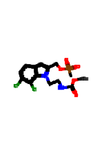 CC(C)(C)OC(=O)NCCn1c(COS(C)(=O)=O)cc2ccc(Cl)c(Cl)c21